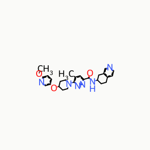 COc1ccc(OC2CCN(c3nnc(C(=O)NC4CCc5ccncc5C4)cc3C)CC2)cn1